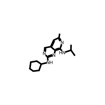 Cc1cc2cnc(NC3CCCCC3)nc2c(NC(C)C)n1